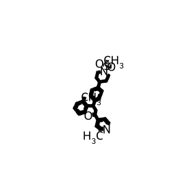 Cc1cc(C(=O)CC(c2ccc(C3CCN(S(C)(=O)=O)CC3)cc2)c2ccccc2C)ccn1